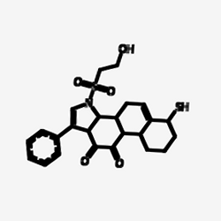 O=C1C(=O)C2C3CCCC(S)C3=CCC2C2C1C(c1ccccc1)=CN2S(=O)(=O)CCO